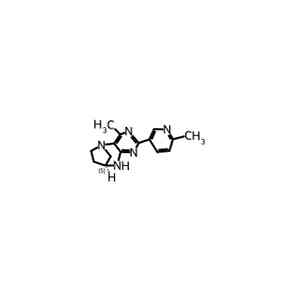 Cc1ccc(-c2nc(C)c3c(n2)N[C@H]2CCN3C2)cn1